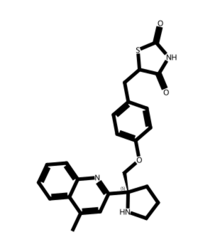 Cc1cc([C@]2(COc3ccc(CC4SC(=O)NC4=O)cc3)CCCN2)nc2ccccc12